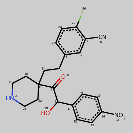 N#Cc1cc(CCC2(C(=O)C(O)c3ccc([N+](=O)[O-])cc3)CCNCC2)ccc1F